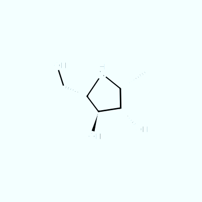 C[C@H]1N[C@@H](CO)[C@H](O)[C@H]1O